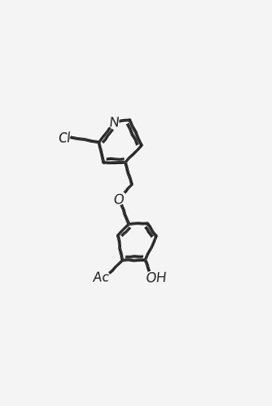 CC(=O)c1cc(OCc2ccnc(Cl)c2)ccc1O